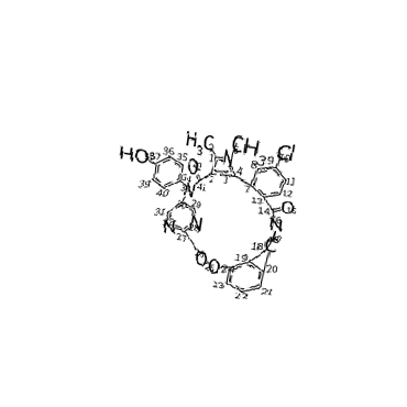 Cc1c2cc(n1C)-c1cc(Cl)ccc1C(=O)N1CCc3c(cccc3OOc3ncc(cn3)N(c3ccc(O)cc3)C2=O)C1